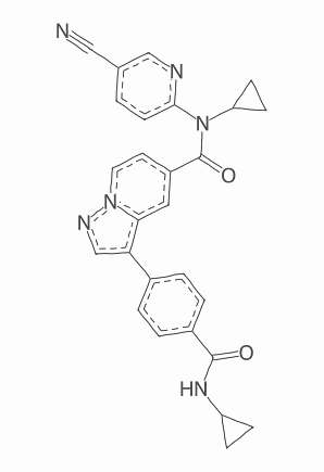 N#Cc1ccc(N(C(=O)c2ccn3ncc(-c4ccc(C(=O)NC5CC5)cc4)c3c2)C2CC2)nc1